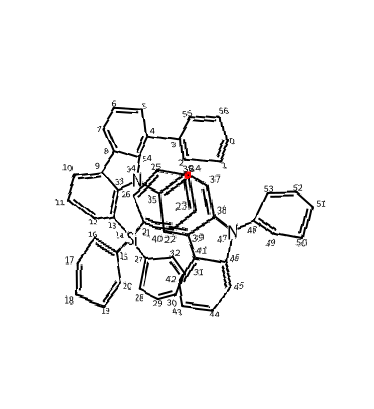 c1ccc(-c2cccc3c4cccc([Si](c5ccccc5)(c5ccccc5)c5ccccc5)c4n(-c4ccc5c(c4)c4ccccc4n5-c4ccccc4)c23)cc1